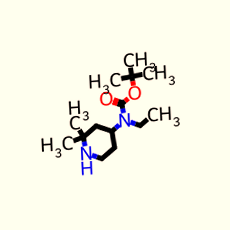 CCN(C(=O)OC(C)(C)C)C1CCNC(C)(C)C1